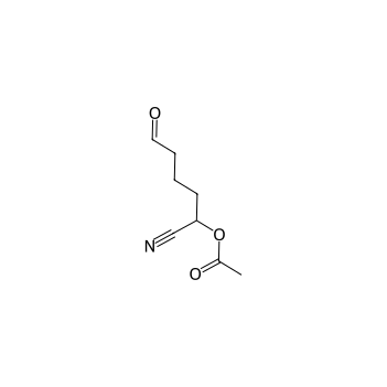 CC(=O)OC(C#N)CCCC=O